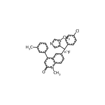 Cc1cccc(-c2cc(=O)n(C)c3ccc([C@](F)(c4ccc(Cl)cc4)c4cncn4C)cc23)c1